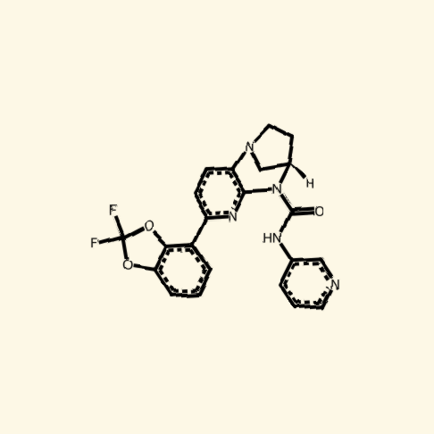 O=C(Nc1cccnc1)N1c2nc(-c3cccc4c3OC(F)(F)O4)ccc2N2CC[C@H]1C2